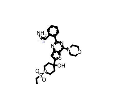 CCS(=O)(=O)N1CCC(O)(c2cc3nc(-c4ccccc4/C=N\N)nc(N4CCOCC4)c3s2)CC1